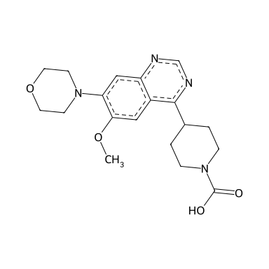 COc1cc2c(C3CCN(C(=O)O)CC3)ncnc2cc1N1CCOCC1